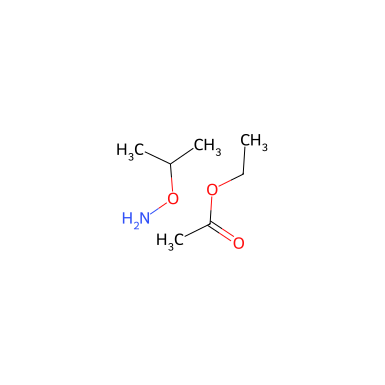 CC(C)ON.CCOC(C)=O